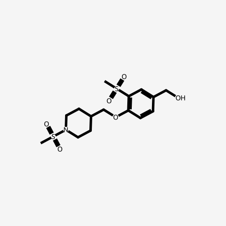 CS(=O)(=O)c1cc(CO)ccc1OCC1CCN(S(C)(=O)=O)CC1